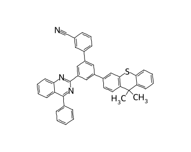 CC1(C)c2ccccc2Sc2cc(-c3cc(-c4cccc(C#N)c4)cc(-c4nc(-c5ccccc5)c5ccccc5n4)c3)ccc21